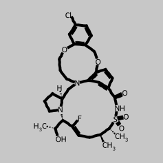 C[C@@H]1[C@@H](C)C/C=C(\F)[C@H]([C@@H](C)O)N2CCC[C@H]2CN2CCCOc3cc(Cl)ccc3COc3ccc(cc32)C(=O)NS1(=O)=O